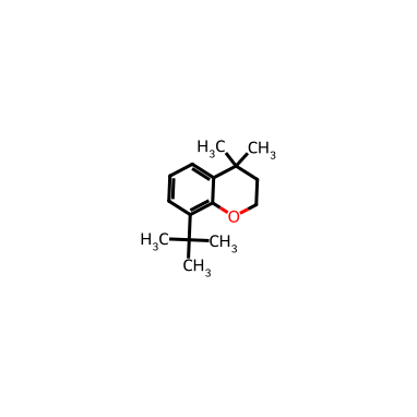 CC(C)(C)c1cccc2c1OCCC2(C)C